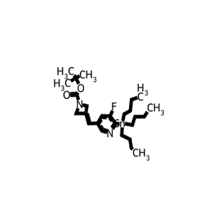 CCC[CH2][Sn]([CH2]CCC)([CH2]CCC)[c]1ncc(C=C2CN(C(=O)OC(C)(C)C)C2)cc1F